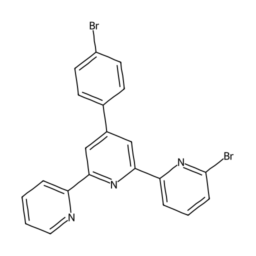 Brc1ccc(-c2cc(-c3ccccn3)nc(-c3cccc(Br)n3)c2)cc1